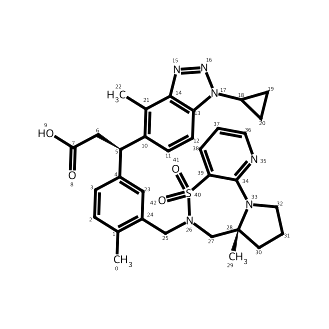 Cc1ccc([C@@H](CC(=O)O)c2ccc3c(nnn3C3CC3)c2C)cc1CN1C[C@@]2(C)CCCN2c2ncccc2S1(=O)=O